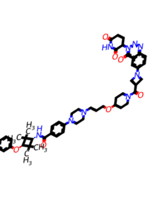 CC1(C)[C@H](NC(=O)c2ccc(N3CCN(CCCOC4CCN(C(=O)C5CN(c6ccc7nnn(C8CCC(=O)NC8=O)c(=O)c7c6)C5)CC4)CC3)cc2)C(C)(C)[C@H]1Oc1ccc(C#N)c(Cl)c1